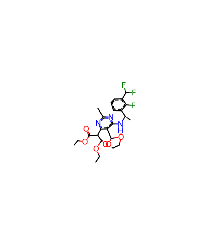 CCOC(=O)C(C(=O)OCC)c1nc(C)nc(N[C@H](C)c2cccc(C(F)F)c2F)c1C1OCCO1